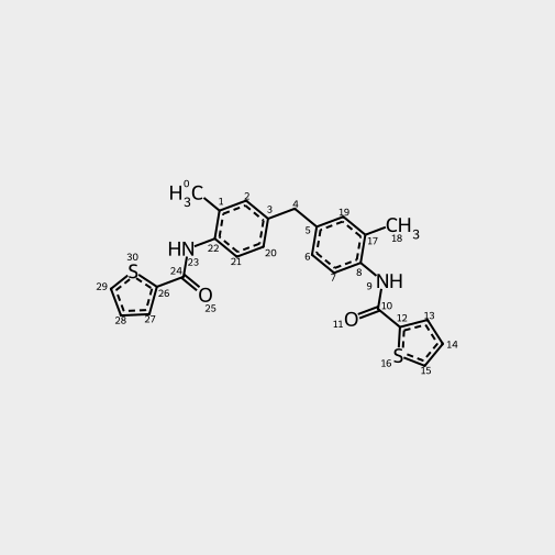 Cc1cc(Cc2ccc(NC(=O)c3cccs3)c(C)c2)ccc1NC(=O)c1cccs1